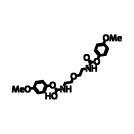 COc1ccc(OC(=O)NCCOCCNC(O)Oc2ccc(OC)cc2)cc1